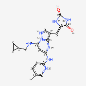 Cc1ccc(Nc2cc(NCC3CC3)n3ncc(/C=C4\NC(=O)NC4=O)c3n2)nc1